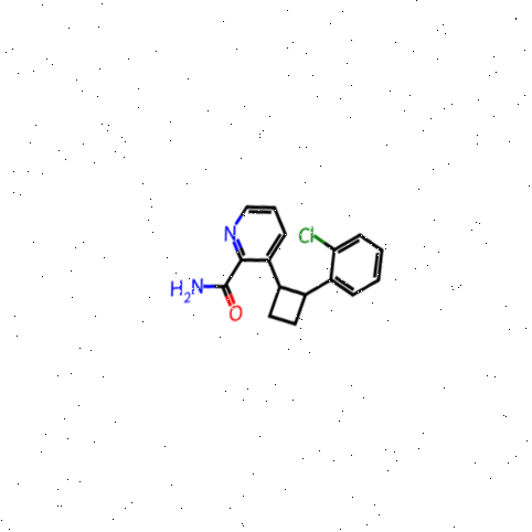 NC(=O)c1ncccc1C1CCC1c1ccccc1Cl